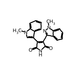 Cn1cc(C2=C(c3nn(C)c4ccccc34)C(=O)NC2=O)c2ccccc21